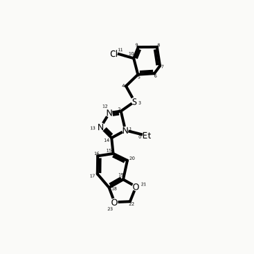 CCn1c(SCc2ccccc2Cl)nnc1-c1ccc2c(c1)OCO2